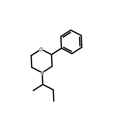 CCC(C)N1CCOC(c2ccccc2)C1